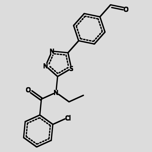 CCN(C(=O)c1ccccc1Cl)c1nnc(-c2ccc(C=O)cc2)s1